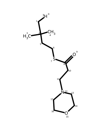 [3H]CC(C)(C)CCSC(=O)CCN1CCOCC1